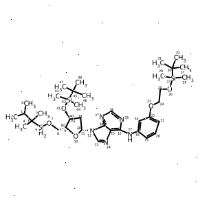 CC(C)C(C)(C)[SiH2]OC[C@H]1O[C@@H](n2cnc3c(Nc4cccc(OCCO[Si](C)(C)C(C)(C)C)c4)ncnc32)C[C@@H]1O[Si](C)(C)C(C)(C)C